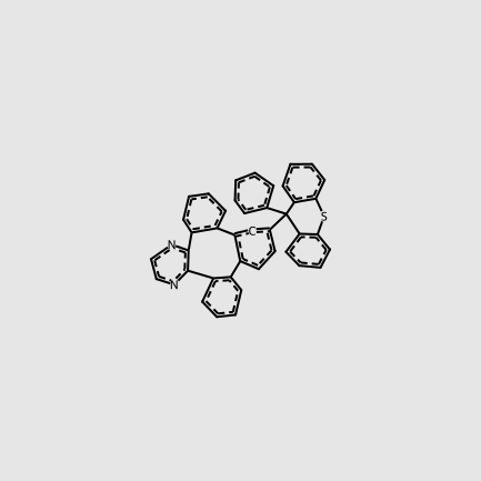 c1ccc(C2(c3ccc4c(c3)-c3ccccc3-c3nccnc3-c3ccccc3-4)c3ccccc3Sc3ccccc32)cc1